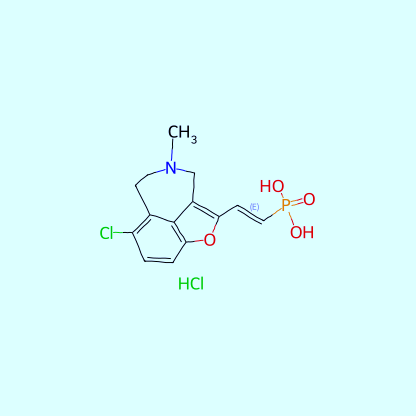 CN1CCc2c(Cl)ccc3oc(/C=C/P(=O)(O)O)c(c23)C1.Cl